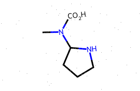 CN(C(=O)O)C1CCCN1